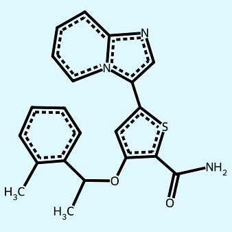 Cc1ccccc1C(C)Oc1cc(-c2cnc3ccccn23)sc1C(N)=O